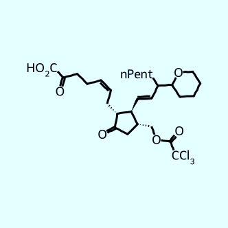 CCCCCC(/C=C/[C@H]1[C@H](COC(=O)C(Cl)(Cl)Cl)CC(=O)[C@@H]1C/C=C\CCC(=O)C(=O)O)C1CCCCO1